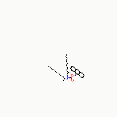 CCCCCCCCC(C)CN(CC(C)CCCCCCCC)C(=O)OCc1c2ccccc2cc2ccccc12